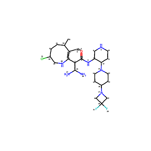 CCCC/C1=C(\C(C(=O)NC2CNCCC2N2CCC(N3CC(F)(F)C3)CC2)C(N)N)NCC(Cl)CCC1C